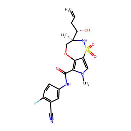 C=CC[C@H](O)[C@]1(C)COc2c(cn(C)c2C(=O)Nc2ccc(F)c(C#N)c2)S(=O)(=O)N1